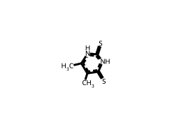 Cc1[nH]c(=S)[nH]c(=S)c1C